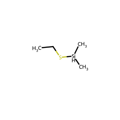 CCS[SiH](C)C